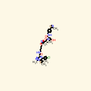 Cc1ncsc1-c1ccc(CNC(=O)[C@@H]2C[C@@H](O)CN2C(=O)[C@@H](c2cc(OCCCCCNC(=O)C[C@@H]3N=C(c4ccc(Cl)cc4)c4c(sc(C)c4C)-n4c(C)nnc43)no2)C(C)C)cc1